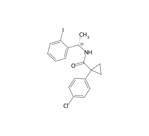 C[C@H](NC(=O)C1(c2ccc(Cl)cc2)CC1)c1ccccc1I